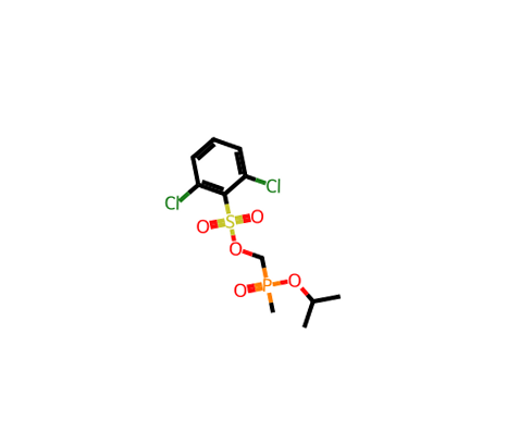 CC(C)OP(C)(=O)COS(=O)(=O)c1c(Cl)cccc1Cl